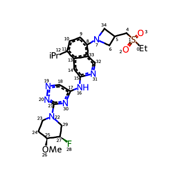 CCS(=O)(=O)CC1CN(c2ccc(C(C)C)c3cc(Nc4cnnc(N5CC[C@H](OC)[C@H](F)C5)n4)ncc23)C1